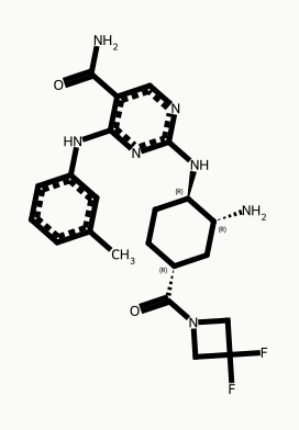 Cc1cccc(Nc2nc(N[C@@H]3CC[C@@H](C(=O)N4CC(F)(F)C4)C[C@H]3N)ncc2C(N)=O)c1